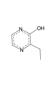 CCc1nccnc1O